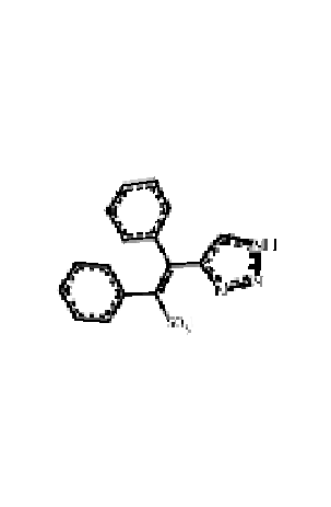 O=S(=O)(O)C(=C(c1ccccc1)c1c[nH]nn1)c1ccccc1